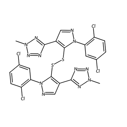 Cn1nnc(-c2cnn(-c3cc(Cl)ccc3Cl)c2SSc2c(-c3nnn(C)n3)cnn2-c2cc(Cl)ccc2Cl)n1